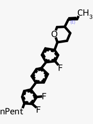 C/C=C/C1CCC(c2ccc(-c3ccc(-c4ccc(CCCCC)c(F)c4F)cc3)c(F)c2)OC1